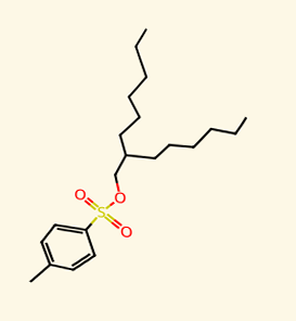 CCCCCCC(CCCCCC)COS(=O)(=O)c1ccc(C)cc1